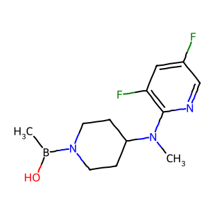 CB(O)N1CCC(N(C)c2ncc(F)cc2F)CC1